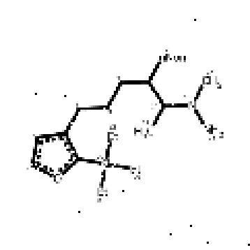 CCCCCCCCCC(CCCc1ccoc1[Si](CC)(CC)CC)C(C)N(C)N